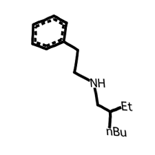 CCCCC(CC)CNCCc1ccccc1